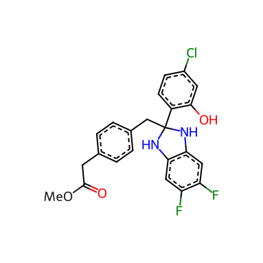 COC(=O)Cc1ccc(CC2(c3ccc(Cl)cc3O)Nc3cc(F)c(F)cc3N2)cc1